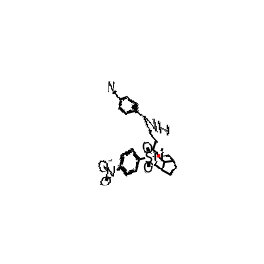 CN(C1C2CCC1CN(CCCNc1ccc(C#N)cc1)C2)S(=O)(=O)c1ccc([N+](=O)[O-])cc1